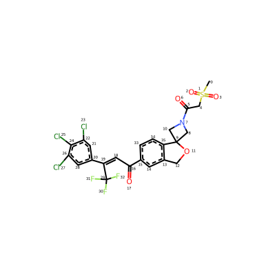 CS(=O)(=O)CC(=O)N1CC2(C1)OCc1cc(C(=O)C=C(c3cc(Cl)c(Cl)c(Cl)c3)C(F)(F)F)ccc12